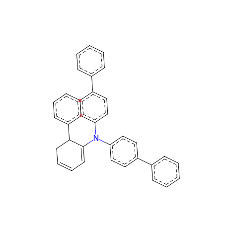 C1=CCC(c2ccccc2)C(N(c2ccc(-c3ccccc3)cc2)c2ccc(-c3ccccc3)cc2)=C1